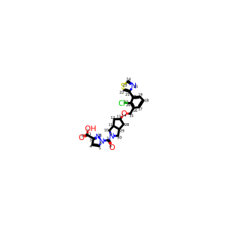 O=C(O)c1ccn(C(=O)N2CC3CC(OCc4cccc(-c5cscn5)c4Cl)CC3C2)n1